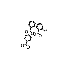 O=C([O-])c1ccccc1.O=C([O-])c1ccccc1.O=C([O-])c1ccccc1.[Y+3]